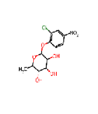 CC1O[C@@H](Oc2ccc([N+](=O)[O-])cc2Cl)C(O)[C@@H](O)[C@@H]1O